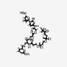 CCC(C)(CCOC(C)(CC)CCC(=O)C(C)(C)CC)OCCC(=O)N[C@H](CSCC1CCC[C@@H](O)O1)C(=O)NCCC(=O)OCC(=O)Nc1ccn([C@@H]2O[C@H](CO)CC2(F)F)c(=O)n1